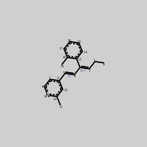 CC/C=C(/C=C/c1ccnc(C)c1)c1ccccc1C